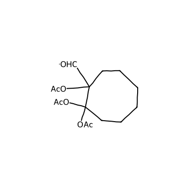 CC(=O)OC1([C]=O)CCCCCCC1(OC(C)=O)OC(C)=O